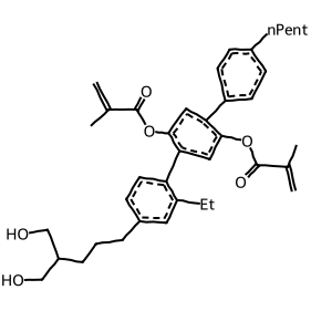 C=C(C)C(=O)Oc1cc(-c2ccc(CCCC(CO)CO)cc2CC)c(OC(=O)C(=C)C)cc1-c1ccc(CCCCC)cc1